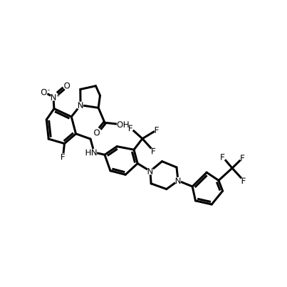 O=C(O)C1CCCN1c1c([N+](=O)[O-])ccc(F)c1CNc1ccc(N2CCN(c3cccc(C(F)(F)F)c3)CC2)c(C(F)(F)F)c1